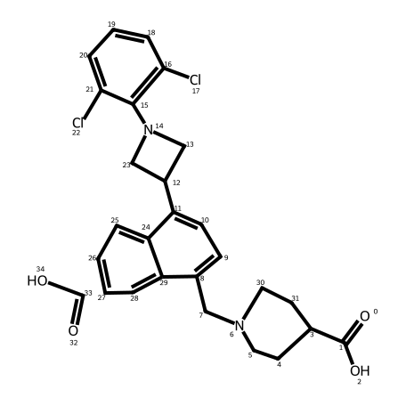 O=C(O)C1CCN(Cc2ccc(C3CN(c4c(Cl)cccc4Cl)C3)c3ccccc23)CC1.O=CO